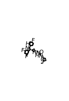 CC[C@@H]1CC[C@H](CNC(=O)NC[C@H]2C[C@H](c3c(-c4ccc(F)cc4)[nH]c4c(F)cc(F)cc43)C2)O1